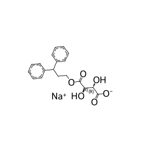 O=C([O-])[C@H](O)[C@@H](O)C(=O)OCCC(c1ccccc1)c1ccccc1.[Na+]